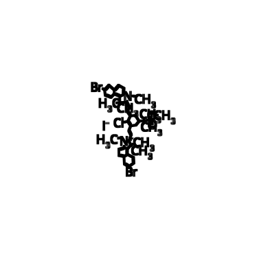 CCN1/C(=C/C=C2\CC(C(C)(C)C(=O)OC)CC(/C=C/C3=[N+](CC)c4ccc5cc(Br)ccc5c4C3(C)C)=C2Cl)C(C)(C)c2c1ccc1cc(Br)ccc21.[I-]